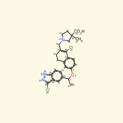 CC(C)C(Oc1ccc2c(c1)CCC(CN1CCC(C)(C(=O)O)C1)=C2Cl)c1ccc2[nH]nc(Cl)c2c1